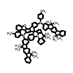 Cc1ccc(N(c2ccc3c(c2)C(C)(C)c2cc4c(cc2-3)C(C)(C)c2ccccc2-4)c2ccc3c(c2)C2(c4ccccc4N4c5ccccc5C(C)(C)c5cccc2c54)c2cc(N(c4ccc(C)cc4)c4ccc5c(c4)C(C)(C)c4cc6c(cc4-5)C(C)(C)c4ccccc4-6)c4c(oc5ccccc54)c2-3)cc1